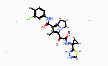 Cc1ccc(NC(=O)c2c(C)c(C(=O)C(=O)NC3(c4nncs4)CC3)n3c2CCC3)cc1F